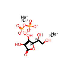 O=C1O[C@H]([C@@H](O)CO)C(O)=C1O.O=P([O-])([O-])OP(=O)([O-])[O-].[Na+].[Na+].[Na+].[Na+]